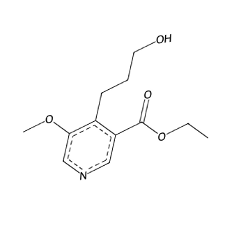 CCOC(=O)c1cncc(OC)c1CCCO